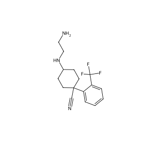 N#CC1(c2ccccc2C(F)(F)F)CCC(NCCN)CC1